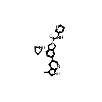 Cc1c[nH]c2ncc(-c3cc4c(c([C@@H]5CCCN5)c3)CN(C(=O)Nc3cccnc3)C4)cc12